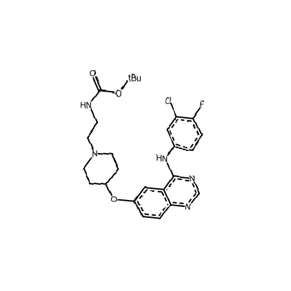 CC(C)(C)OC(=O)NCCN1CCC(Oc2ccc3ncnc(Nc4ccc(F)c(Cl)c4)c3c2)CC1